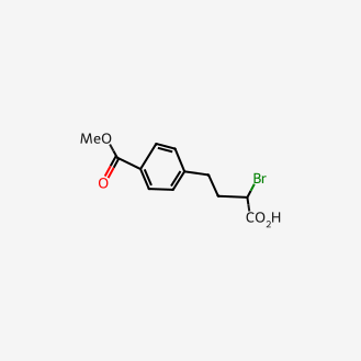 COC(=O)c1ccc(CCC(Br)C(=O)O)cc1